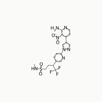 CNS(=O)(=O)CCC(c1ccc(-n2cc(-c3ccnc(N)c3[N+](=O)[O-])cn2)nc1)C(F)(F)F